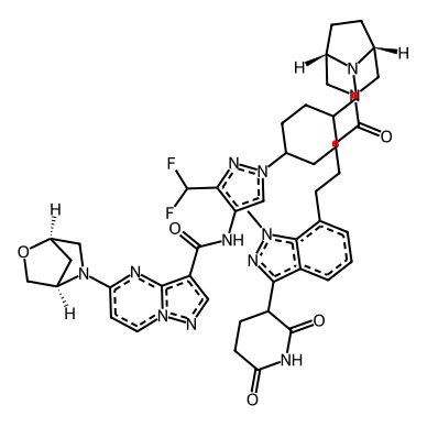 Cn1nc(C2CCC(=O)NC2=O)c2cccc(CCCC(=O)N3C[C@H]4CC[C@@H](C3)N4CC3CCC(n4cc(NC(=O)c5cnn6ccc(N7C[C@H]8C[C@@H]7CO8)nc56)c(C(F)F)n4)CC3)c21